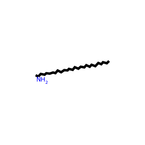 CCCCCCCCCCCCCCCCCCCCCCCCCC(C)N